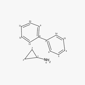 NC1CC1.c1ccc(-c2ccccc2)cc1